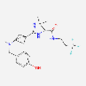 CN(Cc1ccc(O)cc1)C12CC(C3=NC(C)(C)[C@H](C(=O)NCCC(F)(F)F)N3)(C1)C2